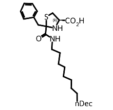 CCCCCCCCCCCCCCCCCCNC(=O)C1(Cc2ccccc2)N[C@H](C(=O)O)CS1